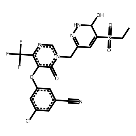 CCS(=O)(=O)C1=CC(Cn2cnc(C(F)(F)F)c(Oc3cc(Cl)cc(C#N)c3)c2=O)=NNC1O